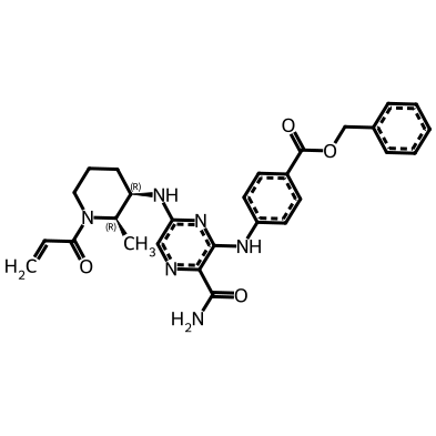 C=CC(=O)N1CCC[C@@H](Nc2cnc(C(N)=O)c(Nc3ccc(C(=O)OCc4ccccc4)cc3)n2)[C@H]1C